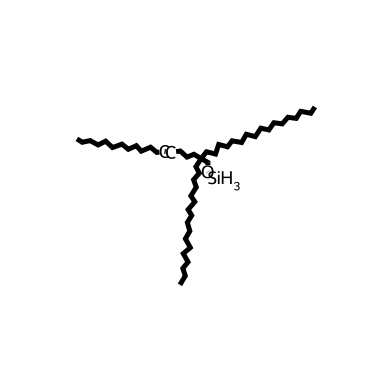 CCCCCCCCCCCCCCCCCC(CCCCCCCCCCCCCCCCC)(CCCCCCCCCCCCCCCCC)CO[SiH3]